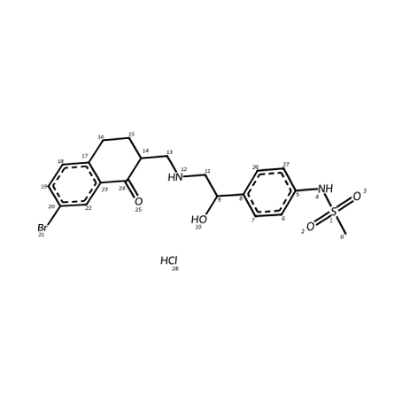 CS(=O)(=O)Nc1ccc(C(O)CNCC2CCc3ccc(Br)cc3C2=O)cc1.Cl